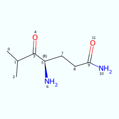 CC(C)C(=O)[C@H](N)CCC(N)=O